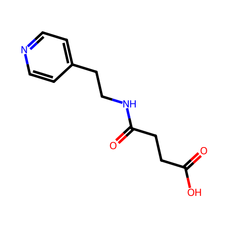 O=C(O)CCC(=O)NCCc1ccncc1